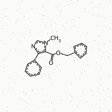 Cn1cnc(-c2ccccc2)c1C(=O)OCc1ccccc1